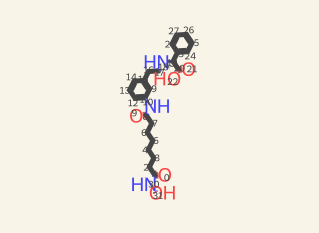 O=C(CCCCCCC(=O)Nc1cccc(CCN[C@H](C(=O)O)c2ccccc2)c1)NO